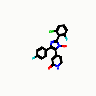 O=c1cc(-c2c(-c3ccc(F)cc3)nc(-c3c(F)cccc3Cl)n2O)cc[nH]1